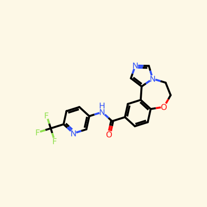 O=C(Nc1ccc(C(F)(F)F)nc1)c1ccc2c(c1)-c1cncn1CCO2